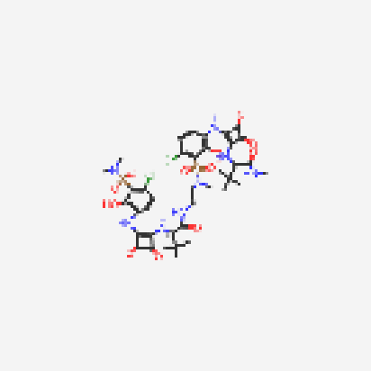 CNC(=O)C(Nc1c(Nc2ccc(Cl)c(S(=O)(=O)N(C)CCNC(=O)[C@H](Nc3c(Nc4ccc(Cl)c(S(=O)(=O)N(C)C)c4O)c(=O)c3=O)C(C)(C)C)c2O)c(=O)c1=O)C(C)(C)C